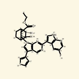 CCOC(=O)[C@@H]1C2CCC(CC2)[C@H]1n1cc(-c2ccsc2)c2cnc(-c3c[nH]c4ncc(F)cc34)nc21